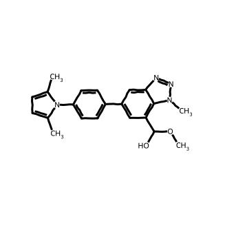 COC(O)c1cc(-c2ccc(-n3c(C)ccc3C)cc2)cc2nnn(C)c12